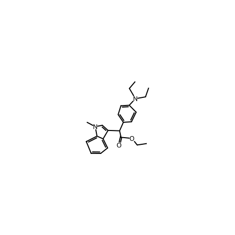 CCOC(=O)C(c1ccc(N(CC)CC)cc1)c1cn(C)c2ccccc12